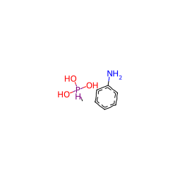 C[PH](O)(O)O.Nc1ccccc1